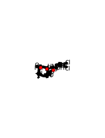 CC[C@H]1c2cc3[nH]c4c(c3C)C(=O)C(COC)c4c3nc(cc4[nH]c(cc(n2)[C@@H]1C)c(C(C)=O)c4C)[C@@H](C)[C@@H]3CCC(=O)NC(Cc1ccc(N(CCCl)CCCl)cc1)C(=O)O